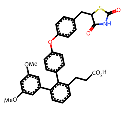 COc1cc(OC)cc(-c2cccc(CCC(=O)O)c2-c2ccc(Oc3ccc(CC4SC(=O)NC4=O)cc3)cc2)c1